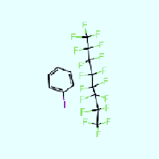 FC(F)(F)C(F)(F)C(F)(F)C(F)(F)C(F)(F)C(F)(F)C(F)(F)C(F)(F)F.Ic1ccccc1